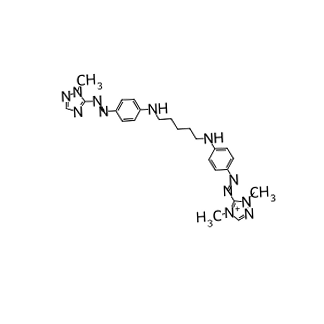 Cn1ncnc1N=Nc1ccc(NCCCCCNc2ccc(N=Nc3n(C)nc[n+]3C)cc2)cc1